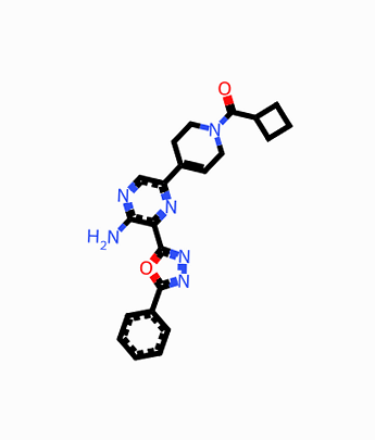 Nc1ncc(C2=CCN(C(=O)C3CCC3)CC2)nc1-c1nnc(-c2ccccc2)o1